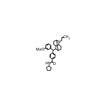 C=CCN1C2CCC3C(C(c4ccc(C(=O)NC5CCCC5)cc4)c4cccc(OC)c4)C2CCC31